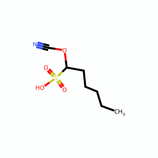 CCCCCC(OC#N)S(=O)(=O)O